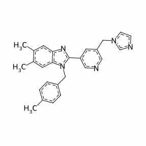 Cc1ccc(Cn2c(-c3cncc(Cn4ccnc4)c3)nc3cc(C)c(C)cc32)cc1